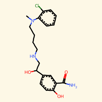 CN(CCCCNCC(O)c1ccc(O)c(C(N)=O)c1)c1ccccc1Cl